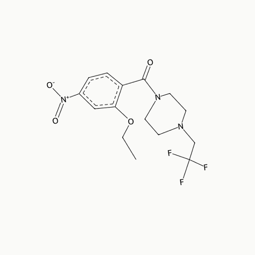 CCOc1cc([N+](=O)[O-])ccc1C(=O)N1CCN(CC(F)(F)F)CC1